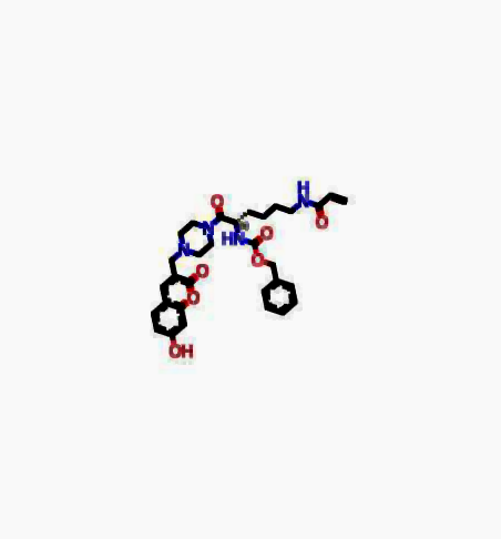 C=CC(=O)NCCCC[C@H](NC(=O)OCc1ccccc1)C(=O)N1CCN(Cc2cc3ccc(O)cc3oc2=O)CC1